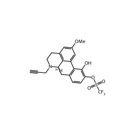 C#CCN1CCc2cc(OC)cc3c2[C@H]1Cc1ccc(OS(=O)(=O)C(F)(F)F)c(O)c1-3